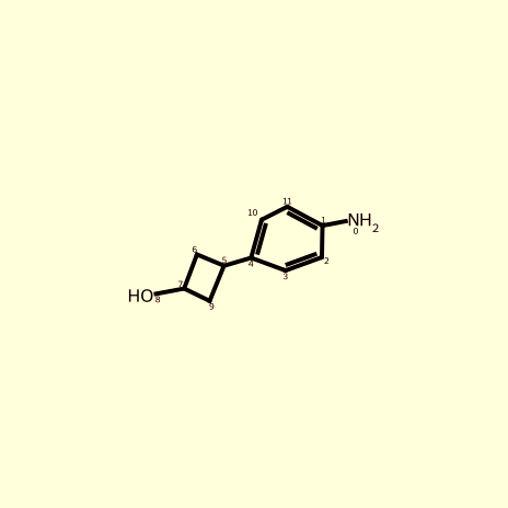 Nc1ccc(C2CC(O)C2)cc1